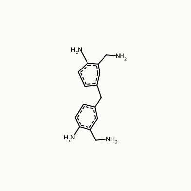 NCc1cc(Cc2ccc(N)c(CN)c2)ccc1N